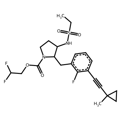 CCS(=O)(=O)NC1CCN(C(=O)OCC(F)F)C1Cc1cccc(C#CC2(C)CC2)c1F